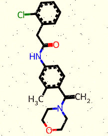 C=C(c1ccc(NC(=O)Cc2ccccc2Cl)cc1C)N1CCOCC1